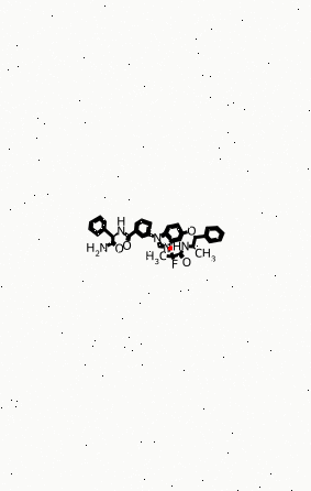 C[C@H](NC(=O)C(C)(F)F)[C@H](Oc1ccc2c(c1)ncn2-c1cccc(C(=O)N[C@@H](C(N)=O)c2ccccc2)c1)c1ccccc1